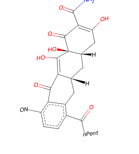 CCCCCC(=O)c1ccc(N=O)c2c1C[C@H]1C[C@H]3CC(O)=C(C(N)=O)C(=O)[C@@]3(O)C(O)=C1C2=O